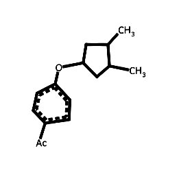 CC(=O)c1ccc(OC2CC(C)C(C)C2)cc1